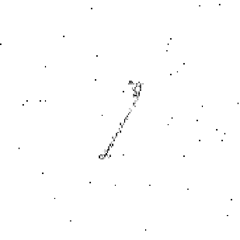 C=C1C=C(C(C)(C)C)C(=O)N1Cc1cn(CCOCCOCCOCCOCCOCCOCCOCCNC(=O)N2CC[C@H](C)C2)nn1